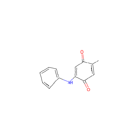 CC1=CC(=O)C(Nc2ccccc2)=CC1=O